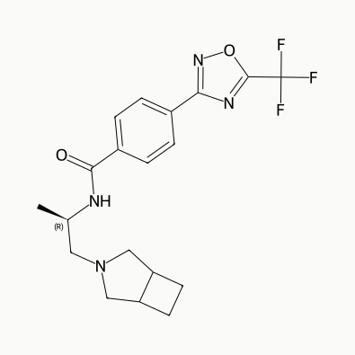 C[C@H](CN1CC2CCC2C1)NC(=O)c1ccc(-c2noc(C(F)(F)F)n2)cc1